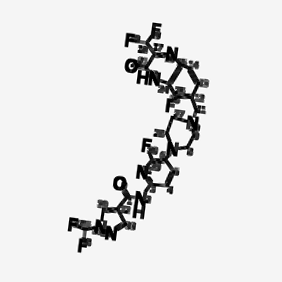 O=C(Nc1ccc(N2CCN(Cc3ccc4nc(C(F)F)c(=O)[nH]c4c3F)CC2)c(F)n1)c1cnn(C(F)F)c1